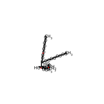 COCCOCCOCCOCCOCCOCCOCCOCCCN(CCCOCCOCCOCCOCCOCCOCCOCCOC)CCCc1cc(NC(=O)[C@H](C)NC(=O)[C@@H](NC(=O)O)C(C)C)ccc1CO